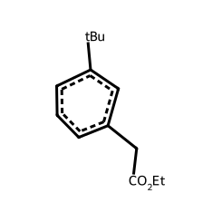 CCOC(=O)Cc1cccc(C(C)(C)C)c1